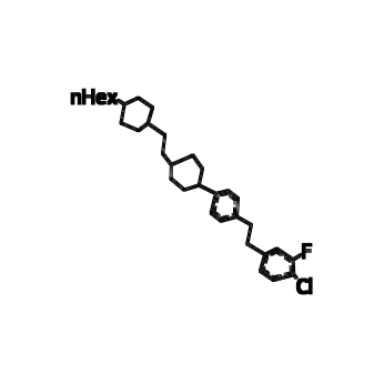 CCCCCCC1CCC(CCC2CCC(c3ccc(CCc4ccc(Cl)c(F)c4)cc3)CC2)CC1